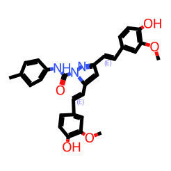 COc1cc(/C=C/c2cc(/C=C/c3ccc(O)c(OC)c3)n(C(=O)Nc3ccc(C)cc3)n2)ccc1O